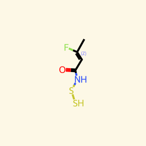 C/C(F)=C/C(=O)NSS